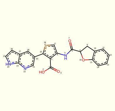 O=C(O)c1c(NC(=O)C2Cc3ccccc3O2)csc1-c1cnc2[nH]ccc2c1